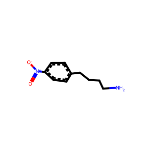 NCCCCc1ccc([N+](=O)[O-])cc1